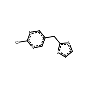 Clc1ncc(Cc2nccs2)cn1